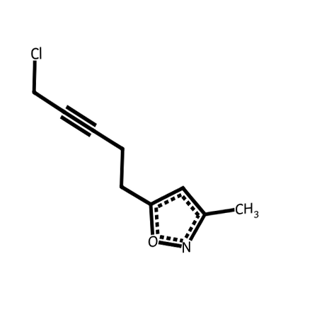 Cc1cc(CCC#CCCl)on1